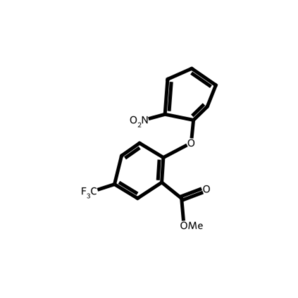 COC(=O)c1cc(C(F)(F)F)ccc1Oc1ccccc1[N+](=O)[O-]